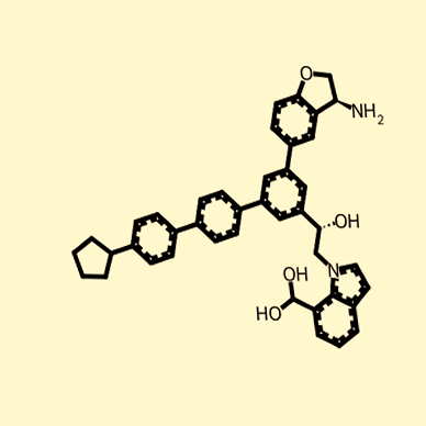 N[C@@H]1COc2ccc(-c3cc(-c4ccc(-c5ccc(C6CCCC6)cc5)cc4)cc([C@H](O)Cn4ccc5cccc(C(O)O)c54)c3)cc21